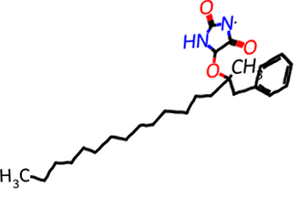 CCCCCCCCCCCCCCC(C)(Cc1ccccc1)OC1NC(=O)[N]C1=O